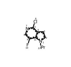 CC(C)n1ccc2c(Cl)ncc(F)c21